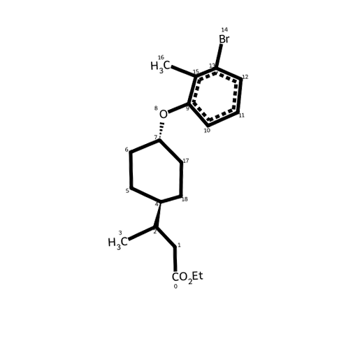 CCOC(=O)CC(C)[C@H]1CC[C@H](Oc2cccc(Br)c2C)CC1